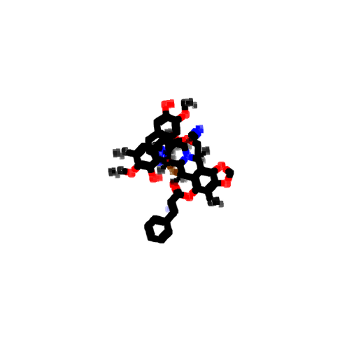 COc1cc2c(cc1O)CCN[C@]21CS[C@@H]2c3c(OC(=O)/C=C/c4ccccc4)c(C)c4c(c3[C@H](COC1=O)N1C2[C@H]2c3c(cc(C)c(OC)c3O)C[C@@H]([C@@H]1C#N)N2C)OCO4